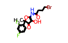 CC1(c2ccc(F)cc2F)OC(NC(=O)CCCBr)=C(O)C1=O